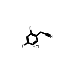 Cl.N#CCc1ccc(F)cc1F